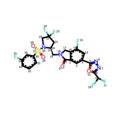 O=C1c2cc(-c3nnc(C(F)F)o3)cc(F)c2CN1C[C@@H]1CC(F)(F)CN1S(=O)(=O)c1cccc(F)c1